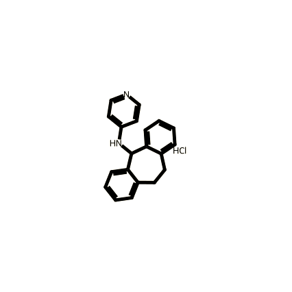 Cl.c1ccc2c(c1)CCc1ccccc1C2Nc1ccncc1